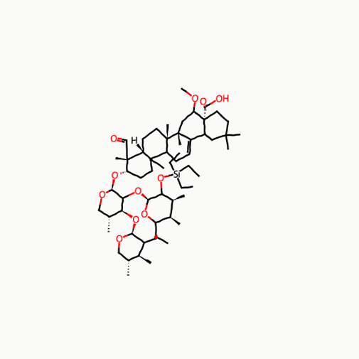 CCC1O[C@@H](OC2[C@H](O[C@H]3CCC4(C)C5CC=C6C7CC(C)(C)CC[C@]7(C(=O)O)C(OC)C[C@@]6(C)[C@@]5(C)CC[C@H]4[C@@]3(C)C=O)OC[C@@H](C)[C@@H]2O[C@@H]2OC[C@@H](C)[C@H](C)C2C)C(O[Si](CC)(CC)CC)[C@@H](C)[C@H]1C